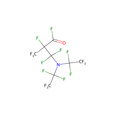 O=C(F)C(F)(C(F)(F)F)C(F)(F)N(C(F)(F)C(F)(F)F)C(F)(F)C(F)(F)F